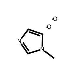 Cn1ccnc1.[O].[O]